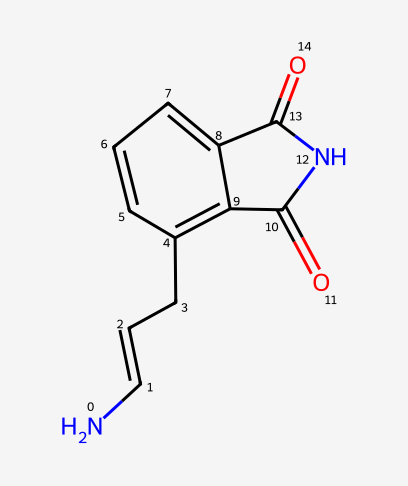 NC=CCc1cccc2c1C(=O)NC2=O